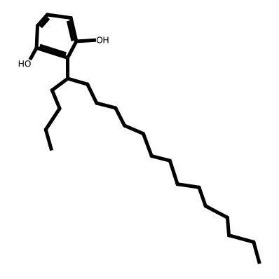 CCCCCCCCCCCCCCC(CCCC)c1c(O)cccc1O